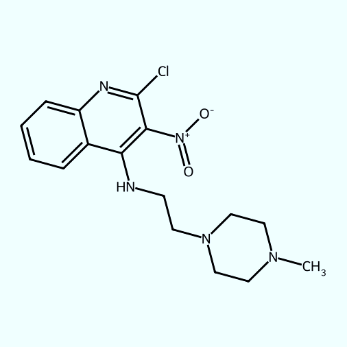 CN1CCN(CCNc2c([N+](=O)[O-])c(Cl)nc3ccccc23)CC1